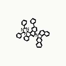 c1ccc(-c2ccc3c(-n4c5cc6ccccc6cc5c5c6ccccc6ccc54)cc(-c4ccccc4)c(-c4nc(-c5ccccc5)nc(-c5ccccc5)n4)c3c2)cc1